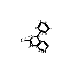 ClC1=Nc2cnccc2C(c2ccccc2)N1